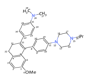 COc1ccc2c(c1)C(c1ccc(N3CCN(C(C)C)CC3)cc1)=C(c1ccc(N(C)C)cc1)CC2